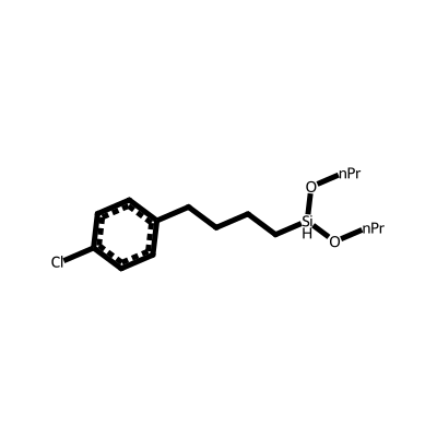 CCCO[SiH](CCCCc1ccc(Cl)cc1)OCCC